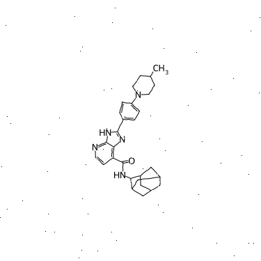 CC1CCN(c2ccc(-c3nc4c(C(=O)NC5C6CC7CC(C6)CC5C7)ccnc4[nH]3)cc2)CC1